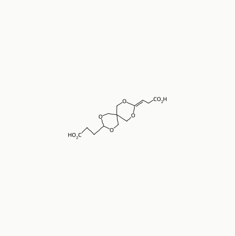 O=C(O)CC=C1OCC2(CO1)COC(CCC(=O)O)OC2